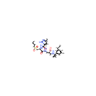 CCCCS(=O)(=O)C[C@@H](NC(=O)c1cc(C)n[nH]1)C(=O)NC[C@H](O)CNC1(c2cccc(CC)c2)CC1